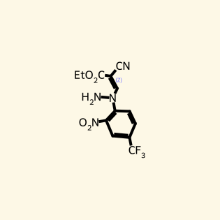 CCOC(=O)/C(C#N)=C\N(N)c1ccc(C(F)(F)F)cc1[N+](=O)[O-]